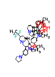 CC[C@]12C=CCN3CC[C@@]4(C5=CC([C@@]6(C(=O)OC)C[C@H]7CC(C(C)(F)F)CN(Cc8c6[nH]c6ccc(N9CCCC9)cc86)C7)C(OC)C=C5N(C)[C@H]4[C@@](O)(C(=O)O)[C@@H]1OC(C)=O)[C@@H]32